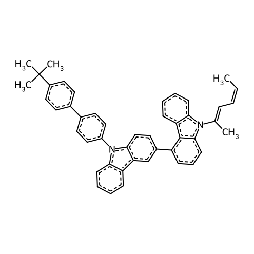 C/C=C\C=C(/C)n1c2ccccc2c2c(-c3ccc4c(c3)c3ccccc3n4-c3ccc(-c4ccc(C(C)(C)C)cc4)cc3)cccc21